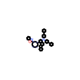 C1=C\C/C(c2nc3ccccc3o2)=C\C=C(\c2ccc(N(c3ccc(-c4ccccc4)cc3)c3ccc(-c4ccccc4)cc3)c3ccc4c(c23)Cc2ccccc2-4)C\C=C/1